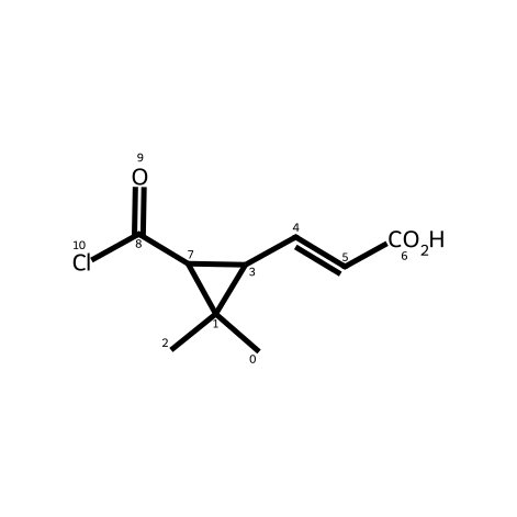 CC1(C)C(C=CC(=O)O)C1C(=O)Cl